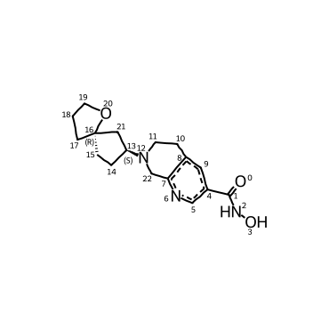 O=C(NO)c1cnc2c(c1)CCN([C@H]1CC[C@@]3(CCCO3)C1)C2